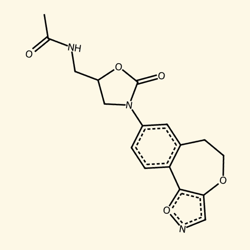 CC(=O)NCC1CN(c2ccc3c(c2)CCOc2cnoc2-3)C(=O)O1